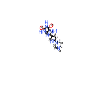 CN1CCCN(c2ccc(-c3nc4[nH]c(=O)[nH]c(=O)c4[nH]3)cn2)CC1